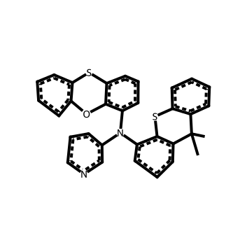 CC1(C)c2ccccc2Sc2c(N(c3cccnc3)c3cccc4c3Oc3ccccc3S4)cccc21